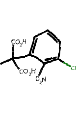 CC(C(=O)O)(C(=O)O)c1cccc(Cl)c1[N+](=O)[O-]